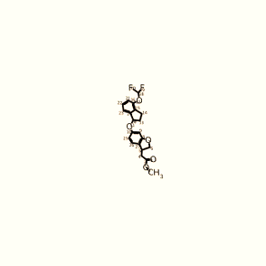 COC(=O)CC1COc2cc(O[C@@H]3CCc4c(OC(F)F)cccc43)ccc21